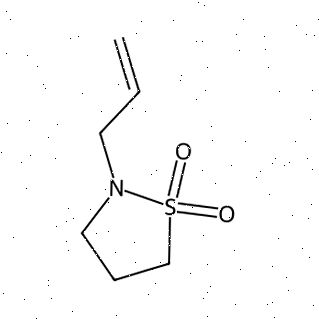 C=CCN1CCCS1(=O)=O